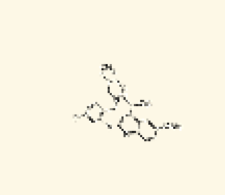 C=CC1C[N+]2(Cc3ccc(F)cc3F)CCC1CC2[C@@H](O)c1ccnc2ccc(OC)cc12